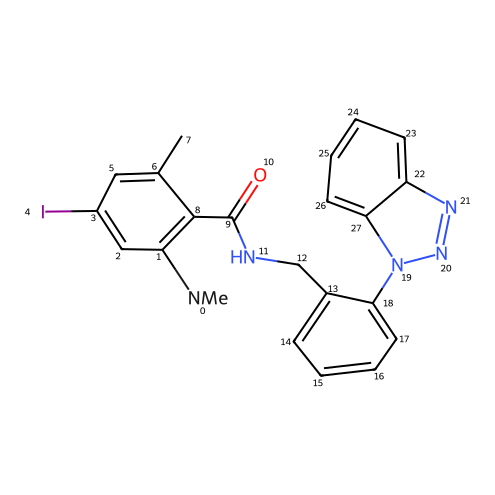 CNc1cc(I)cc(C)c1C(=O)NCc1ccccc1-n1nnc2ccccc21